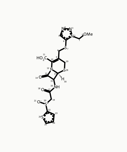 COCn1nncc1SCC1=C(C(=O)O)N2C(=O)C(NC(=O)C[S+]([O-])c3cccs3)[C@@H]2SC1